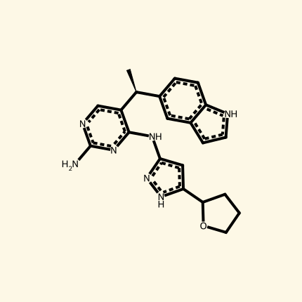 C[C@@H](c1ccc2[nH]ccc2c1)c1cnc(N)nc1Nc1cc(C2CCCO2)[nH]n1